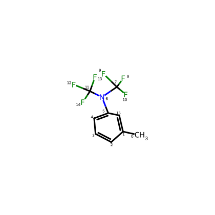 Cc1cccc(N(C(F)(F)F)C(F)(F)F)c1